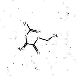 C=C(SC(C)=N)C(=O)OCC